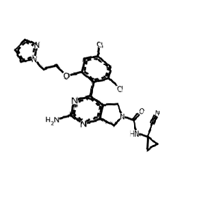 N#CC1(NC(=O)N2Cc3nc(N)nc(-c4c(Cl)cc(Cl)cc4OCCn4cccn4)c3C2)CC1